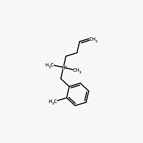 C=CCC[N+](C)(C)Cc1ccccc1C